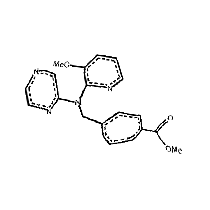 COC(=O)c1ccc(CN(c2cnccn2)c2ncccc2OC)cc1